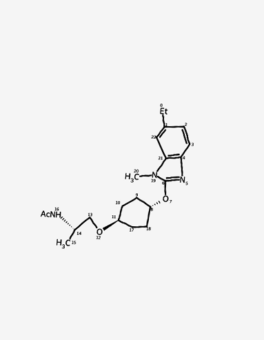 CCc1ccc2nc(O[C@H]3CC[C@H](OC[C@H](C)NC(C)=O)CC3)n(C)c2c1